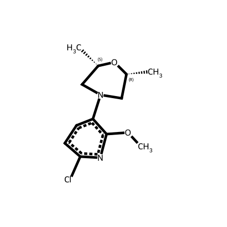 COc1nc(Cl)ccc1N1C[C@@H](C)O[C@@H](C)C1